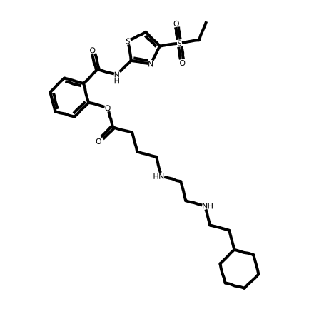 CCS(=O)(=O)c1csc(NC(=O)c2ccccc2OC(=O)CCCNCCNCCC2CCCCC2)n1